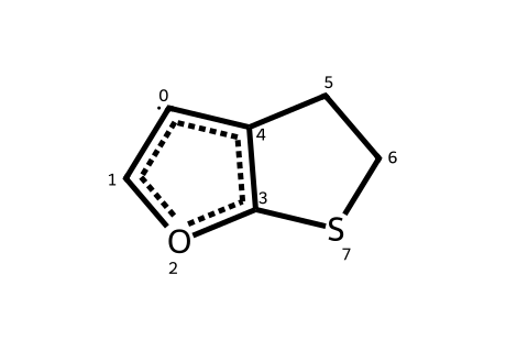 [c]1coc2c1CCS2